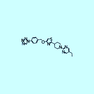 CCc1cnc(N2CCC(c3nc(OCc4ccc(-n5cnnn5)cc4)cs3)CC2)nc1